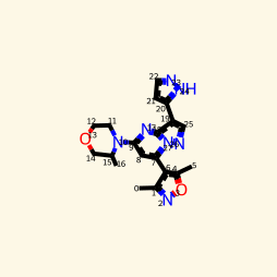 Cc1noc(C)c1-c1cc(N2CCOCC2C)nc2c(-c3ccn[nH]3)cnn12